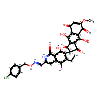 COC1=CC(=O)c2c(O)c3c(c(O)c2C1=O)C(=O)[C@]1(CCc2c1c(O)c1c(=O)[nH]c(/C=N/OCc4ccc(Cl)cc4)cc1c2I)C3=O